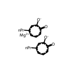 CCCc1cccc(=O)c([O-])c1.CCCc1cccc(=O)c([O-])c1.[Mg+2]